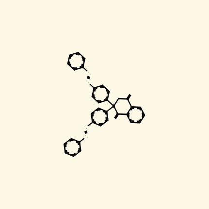 O=C1CC(c2ccc(/N=N/c3ccccc3)cc2)(c2ccc(/N=N/c3ccccc3)cc2)C(=O)c2ccccc21